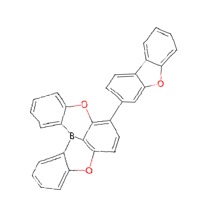 c1ccc2c(c1)Oc1ccc(-c3ccc4c(c3)oc3ccccc34)c3c1B2c1ccccc1O3